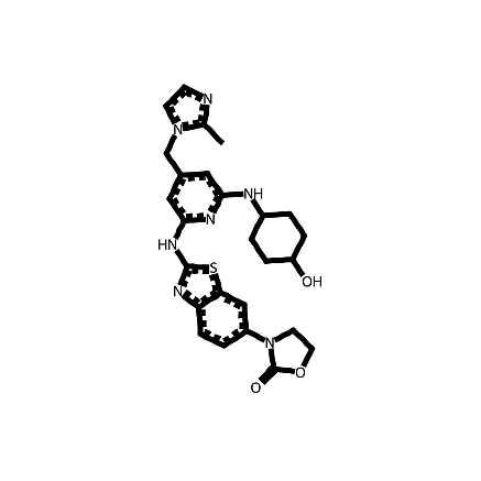 Cc1nccn1Cc1cc(Nc2nc3ccc(N4CCOC4=O)cc3s2)nc(NC2CCC(O)CC2)c1